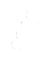 CCCCCCCCCCCCOC(=O)C(CCC)CCCCC